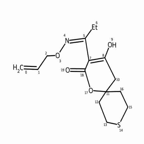 C=CCO/N=C(/CC)C1=C(O)CC2(CCSCC2)OC1=O